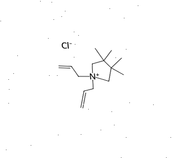 C=CC[N+]1(CC=C)CC(C)(C)C(C)(C)C1.[Cl-]